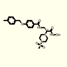 Cc1ccc(COc2ccc(C(=O)NC[C@@H](C(=O)NO)N3CCN(S(C)(=O)=O)CC3)cc2)cc1